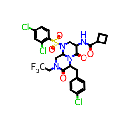 O=C(NC1CN(S(=O)(=O)c2ccc(Cl)cc2Cl)C2CN(CC(F)(F)F)C(=O)C(Cc3ccc(Cl)cc3)N2C1=O)C1CCC1